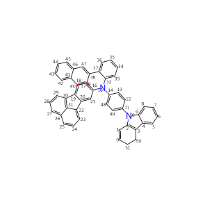 C1=Cc2c(c3ccccc3n2-c2ccc(N(c3ccc4c(c3)-c3cccc5cccc-4c35)c3ccccc3-c3ccc4ccccc4c3)cc2)CC1